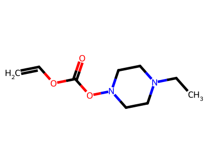 C=COC(=O)ON1CCN(CC)CC1